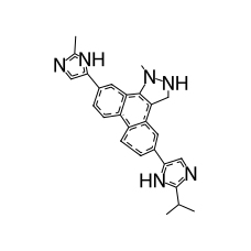 Cc1ncc(-c2ccc3c(c2)c2c(c4cc(-c5cnc(C(C)C)[nH]5)ccc43)CNN2C)[nH]1